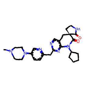 CN1CCN(c2ccc(Cc3ncc4c(n3)N(C3CCCC3)C(=O)[C@]3(CCNC3=O)C4)nc2)CC1